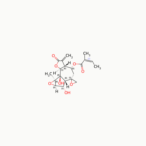 C=C1C(=O)O[C@H]2[C@H]1[C@H](OC(=O)/C(C)=C\C)C[C@@]1(CO1)[C@@H]1[C@H](O)[C@H]3O[C@@]3(C)[C@]21O